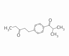 CCC(=O)CCc1ccc(C(=O)C(C)C)cc1